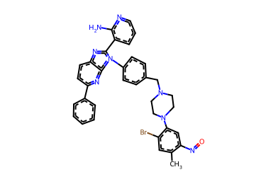 Cc1cc(Br)c(N2CCN(Cc3ccc(-n4c(-c5cccnc5N)nc5ccc(-c6ccccc6)nc54)cc3)CC2)cc1N=O